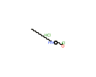 CCCCCCCCCCCCCCCCNc1ccc(CCC(=O)Cl)cc1.Cl